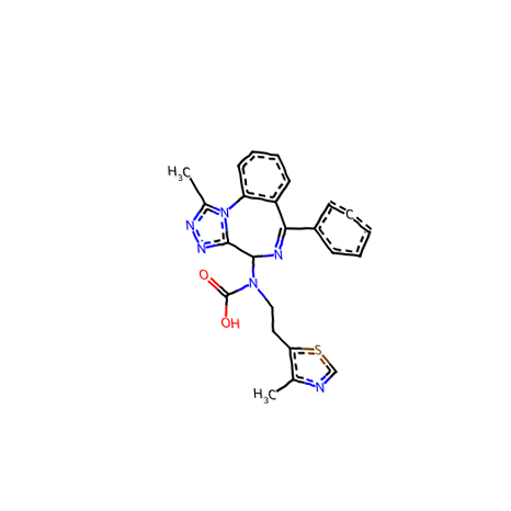 Cc1ncsc1CCN(C(=O)O)C1N=C(c2ccccc2)c2ccccc2-n2c(C)nnc21